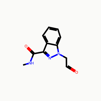 CNC(=O)c1nn(CC=O)c2ccccc12